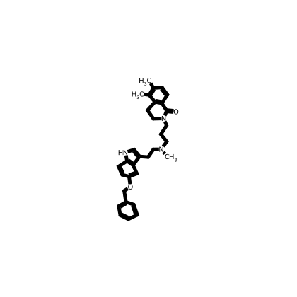 Cc1ccc2c(c1C)CCN(CCCN(C)CCc1c[nH]c3ccc(OCc4ccccc4)cc13)C2=O